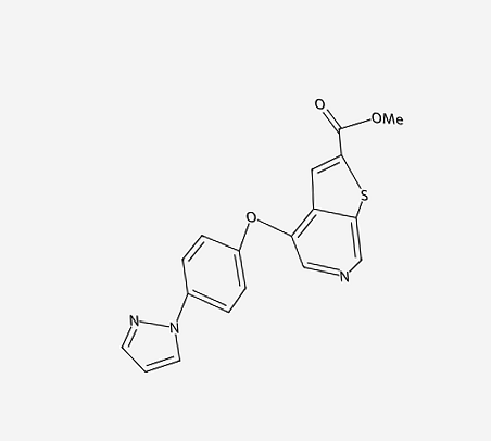 COC(=O)c1cc2c(Oc3ccc(-n4cccn4)cc3)cncc2s1